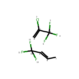 C=C(Cl)C(F)(F)F.CC=CC(F)(F)F